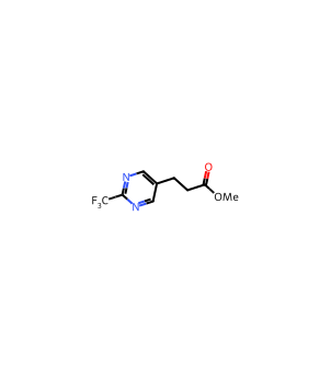 COC(=O)CCc1cnc(C(F)(F)F)nc1